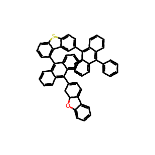 C1=C(c2c3ccccc3c(-c3cccc4sc5ccc(-c6c7ccccc7c(-c7ccccc7)c7ccccc67)cc5c34)c3ccccc23)CC2Oc3ccccc3C2=C1